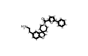 NCCc1ccc2c(c1)C1(CCN(C(=O)c3ccc(-c4ccccc4)o3)CC1)CO2